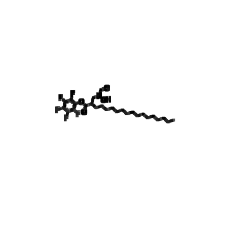 CCCCCCCCCCCCCCCCC(CN(O)C=O)C(=O)Oc1c(F)c(F)c(F)c(F)c1F